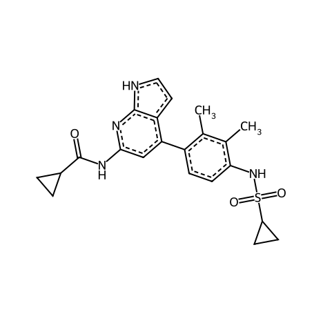 Cc1c(NS(=O)(=O)C2CC2)ccc(-c2cc(NC(=O)C3CC3)nc3[nH]ccc23)c1C